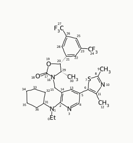 CCN(c1ncc(-c2sc(C)nc2C)cc1CN1C(=O)O[C@H](c2cc(C(F)(F)F)cc(C(F)(F)F)c2)[C@@H]1C)C1CCCCC1